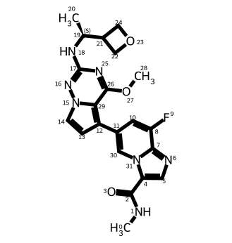 CNC(=O)c1cnc2c(F)cc(-c3ccn4nc(N[C@@H](C)C5COC5)nc(OC)c34)cn12